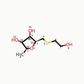 C[C@@H]1O[C@H](CSCCO)[C@H](O)C1O